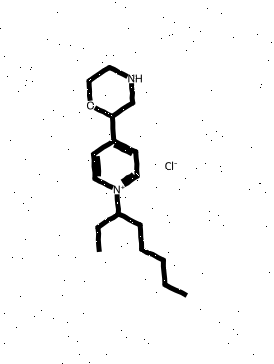 CCCCCC(CC)[n+]1ccc(C2CNCCO2)cc1.[Cl-]